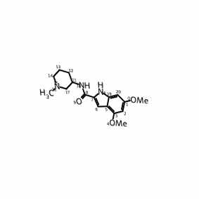 COc1cc(OC)c2cc(C(=O)NC3CCCN(C)C3)[nH]c2c1